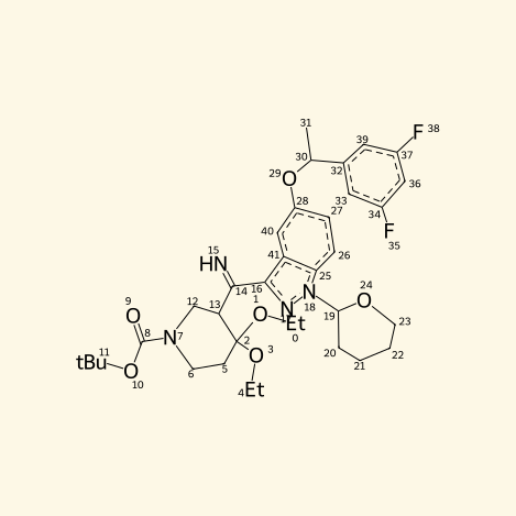 CCOC1(OCC)CCN(C(=O)OC(C)(C)C)CC1C(=N)c1nn(C2CCCCO2)c2ccc(OC(C)c3cc(F)cc(F)c3)cc12